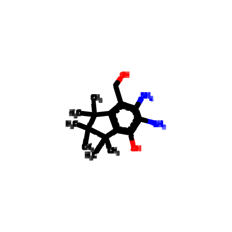 CC1(C)c2c(O)c(N)c(N)c(CO)c2C(C)(C)C1(C)C